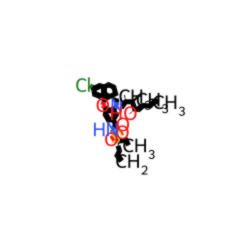 C=CCC[C@@H](CC)S(=O)(=O)NC(=O)c1ccc2c(c1)N(C[C@H](C)[C@@H](CC)[C@@H](O)/C=C/CCC)C[C@@]1(CCCc3cc(Cl)ccc31)CO2